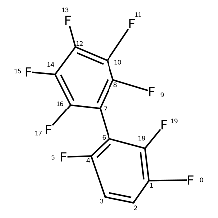 Fc1ccc(F)c(-c2c(F)c(F)c(F)c(F)c2F)c1F